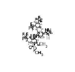 CCOC(=O)N1c2ccc(C(F)(F)F)cc2[C@@H](Nc2ncc(-c3nnn[nH]3)c(Cc3cc(C(F)(F)F)cc(C(F)(F)F)c3)n2)C[C@H]1CC